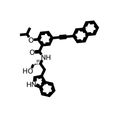 CC(C)Oc1ccc(C#Cc2ccc3ccccc3c2)cc1C(=O)N[C@@H](CO)Cc1c[nH]c2ccccc12